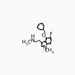 CNCCc1cn(C)c2ccc(F)c(OCc3ccccc3)c12